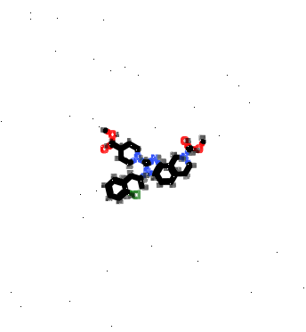 COC(=O)C1CCN(c2nc3c4c(ccc3n2C(C)Cc2ccccc2Cl)CCN(C(=O)OC)C4)CC1